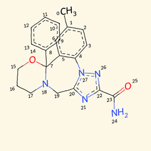 Cc1ccc2c(c1)C1(c3ccccc3)OCCCN1Cc1nc(C(N)=O)nn1-2